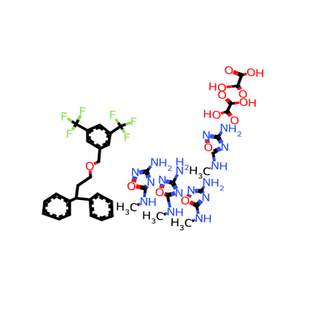 CNc1nc(N)no1.CNc1nc(N)no1.CNc1nc(N)no1.CNc1nc(N)no1.FC(F)(F)c1cc(COCCC(c2ccccc2)c2ccccc2)cc(C(F)(F)F)c1.O=C(O)C(=O)O.O=C(O)C(=O)O